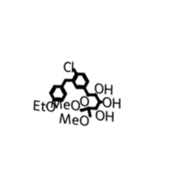 CCOc1ccc(Cc2cc(C3OC(COC)(COC)C(O)C(O)C3O)ccc2Cl)cc1